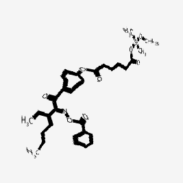 CCCCC(CC)/C(=N\OC(=O)c1ccccc1)C(=O)c1ccc(OC(=O)CCCCC(=O)O[Si](C)(C)OC)cc1